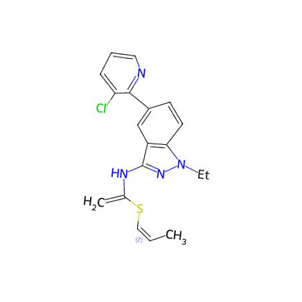 C=C(Nc1nn(CC)c2ccc(-c3ncccc3Cl)cc12)S/C=C\C